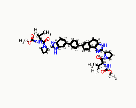 COC(=O)N[C@H](C(=O)N1CCC[C@H]1c1nc2ccc(-c3ccc(-c4ccc5c(ccc6[nH]c([C@@H]7CCCN7C(=O)[C@@H](NC(=O)OC)C(C)C)nc65)c4)cc3)cc2[nH]1)C(C)C